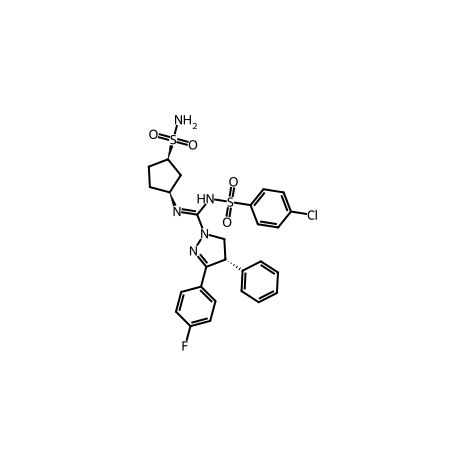 NS(=O)(=O)[C@@H]1CC[C@H](/N=C(\NS(=O)(=O)c2ccc(Cl)cc2)N2C[C@H](c3ccccc3)C(c3ccc(F)cc3)=N2)C1